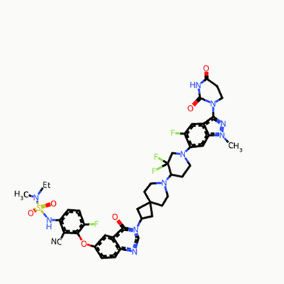 CCN(C)S(=O)(=O)Nc1ccc(F)c(Oc2ccc3ncn(C4CC5(CCN(C6CCN(c7cc8c(cc7F)c(N7CCC(=O)NC7=O)nn8C)CC6(F)F)CC5)C4)c(=O)c3c2)c1C#N